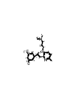 C/C(=C\c1nc(C)ccc1OCCCN(C)C)c1cc(Cl)cc(Cl)c1